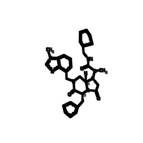 CN(C(=O)NCc1ccccc1)N1CC(=O)N2[C@@H](Cc3ccccc3)C(=O)N(Cc3cccc4c3ncn4C)C[C@@H]21